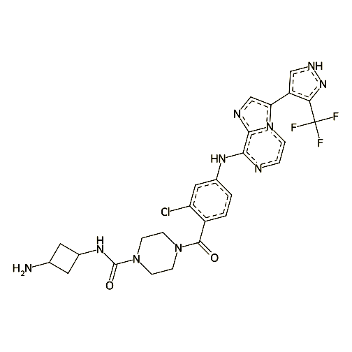 NC1CC(NC(=O)N2CCN(C(=O)c3ccc(Nc4nccn5c(-c6c[nH]nc6C(F)(F)F)cnc45)cc3Cl)CC2)C1